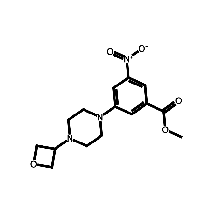 COC(=O)c1cc(N2CCN(C3COC3)CC2)cc([N+](=O)[O-])c1